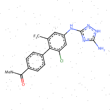 CNC(=O)c1ccc(-c2c(Cl)cc(Nc3n[nH]c(N)n3)cc2C(F)(F)F)cc1